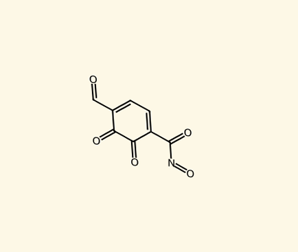 O=CC1=CC=C(C(=O)N=O)C(=O)C1=O